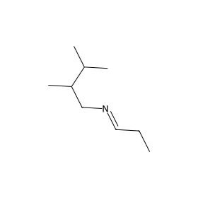 CC/C=N/CC(C)C(C)C